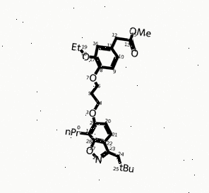 CCCc1c(OCCCOc2ccc(CC(=O)OC)cc2OCC)ccc2c(CC(C)(C)C)noc12